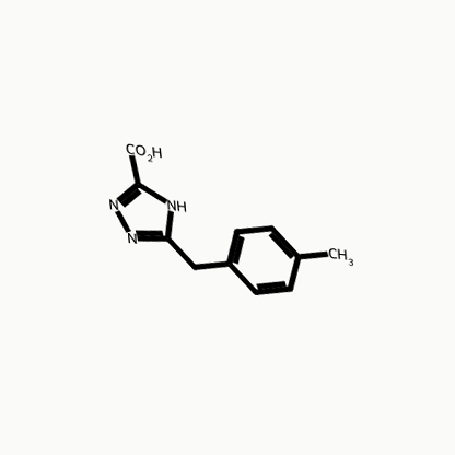 Cc1ccc(Cc2nnc(C(=O)O)[nH]2)cc1